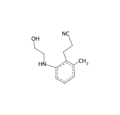 Cc1cccc(NCCO)c1CCC#N